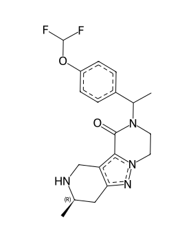 CC(c1ccc(OC(F)F)cc1)N1CCn2nc3c(c2C1=O)CN[C@H](C)C3